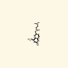 CN(C)CCNCc1ccc2cc(Cl)cc(N)c2n1